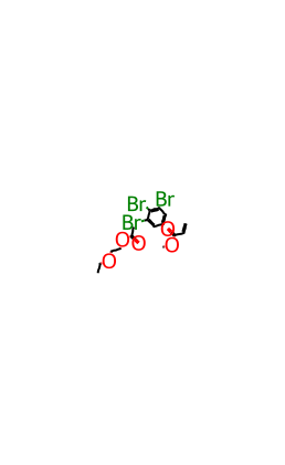 Brc1cccc(Br)c1Br.C=CC(=O)OC.CCOCCOC(C)=O